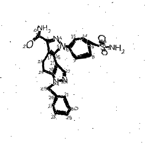 NC(=O)c1nn(-c2ccc(S(N)(=O)=O)cc2)c2c1CCc1c-2cnn1Cc1ccccc1